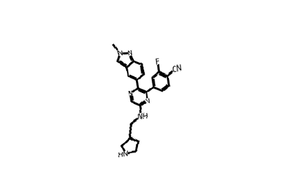 Cn1cc2cc(-c3ncc(NCC4CCNC4)nc3-c3ccc(C#N)c(F)c3)ccc2n1